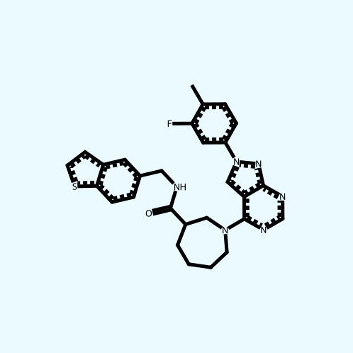 Cc1ccc(-n2cc3c(N4CCCCC(C(=O)NCc5ccc6sccc6c5)C4)ncnc3n2)cc1F